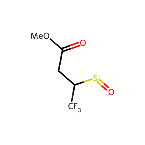 COC(=O)CC([S+]=O)C(F)(F)F